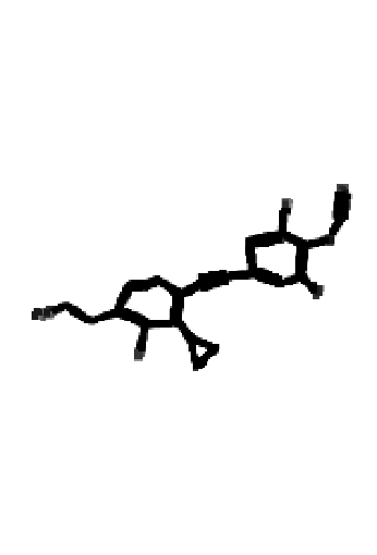 CCCc1ccc(C#Cc2cc(F)c(SC#N)c(F)c2)c(C2CC2)c1F